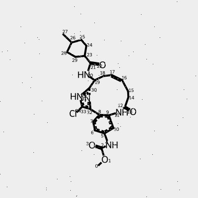 COC(=O)Nc1ccc2c(c1)NC(=O)CCC=CCC(NC(=O)C1CCC(C)CC1)c1nc-2c(Cl)[nH]1